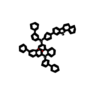 c1ccc(-c2cccc(N(c3ccc(-c4ccc5c(c4)sc4c6ccccc6ccc54)cc3)c3cccc(-c4ccccc4N(c4cccc(-c5ccccc5)c4)c4ccc5cc(-c6ccccc6)ccc5c4)c3)c2)cc1